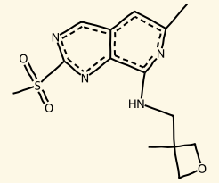 Cc1cc2cnc(S(C)(=O)=O)nc2c(NCC2(C)COC2)n1